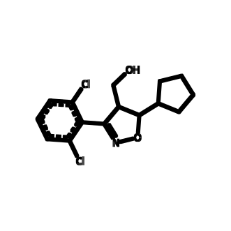 OCC1C(c2c(Cl)cccc2Cl)=NOC1C1CCCC1